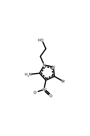 Nc1c([N+](=O)[O-])c(Br)nn1CCO